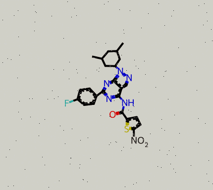 CC1CC(C)CC(n2ncc3c(NC(=O)c4ccc([N+](=O)[O-])s4)nc(-c4ccc(F)cc4)nc32)C1